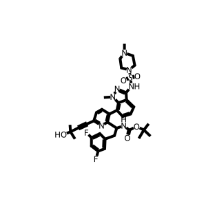 CN1CCN(S(=O)(=O)Nc2nn(C)c3c(-c4ccc(C#CC(C)(C)O)nc4C(Cc4cc(F)cc(F)c4)NC(=O)OC(C)(C)C)cccc23)CC1